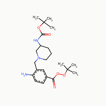 CC(C)(C)OOC(=O)c1ccc(N)c(CN2CCCC(NC(=O)OC(C)(C)C)C2)c1